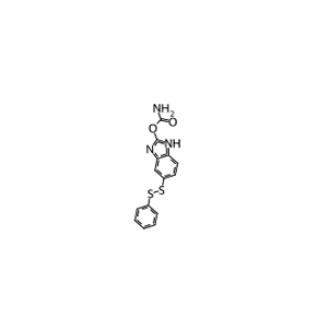 NC(=O)Oc1nc2cc(SSc3ccccc3)ccc2[nH]1